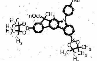 CCCCCCCCC1(C)c2cc(B3OC(C)(C)C(C)(C)O3)ccc2-c2cc3c4cc(B5OC(C)(C)C(C)(C)O5)ccc4n(-c4ccc(C(C)(C)C)cc4)c3cc21